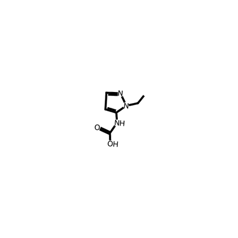 CCn1nccc1NC(=O)O